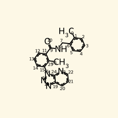 Cc1ccccc1CNC(=O)c1cccc(-n2nnc3cccnc32)c1C